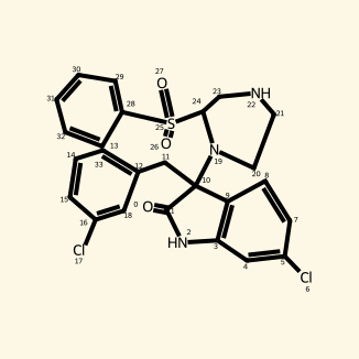 O=C1Nc2cc(Cl)ccc2C1(Cc1cccc(Cl)c1)N1CCNCC1S(=O)(=O)c1ccccc1